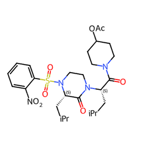 CC(=O)OC1CCN(C(=O)[C@H](CC(C)C)N2CCN(S(=O)(=O)c3ccccc3[N+](=O)[O-])[C@@H](CC(C)C)C2=O)CC1